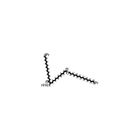 CCCCCCC(CCCCCCCCCCC(=O)OCCCCCCCCCCCCCCCC(C)C)C(=O)CCCCCCCCCCCCCCC(C)C